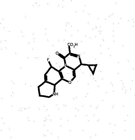 O=C(O)C1=NC(C2CC2)C2=COC3=C(C(F)C=C4CCCNC43)N2C1=O